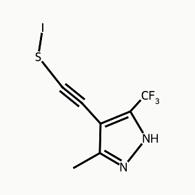 Cc1n[nH]c(C(F)(F)F)c1C#CSI